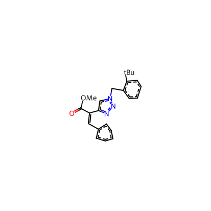 COC(=O)C(=Cc1ccccc1)c1cn(Cc2ccccc2C(C)(C)C)nn1